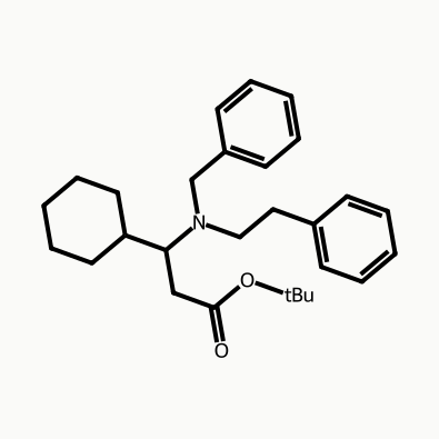 CC(C)(C)OC(=O)CC(C1CCCCC1)N(CCc1ccccc1)Cc1ccccc1